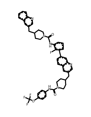 O=C(Nc1ccc(OC(F)(F)F)cc1)N1CCC(Cc2cnc3cc(-c4cccc(NC(=O)N5CCC(Cc6cnc7ccccc7c6)CC5)c4F)ccc3c2)CC1